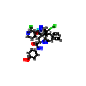 CC1(C)CCC2(CC1)N[C@@H](C(=O)N[C@H]1CC[C@H](O)CC1)[C@H](c1ccnc(Cl)c1F)[C@]21C(=O)Nc2cc(Cl)ccc21